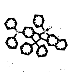 O=P1(c2ccccc2)C2=C(c3cc4ccccc4cc31)C(c1ccccc1)(c1ccccc1)c1cc(N(c3ccccc3)c3ccccc3)ccc12